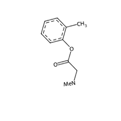 CNCC(=O)Oc1ccccc1C